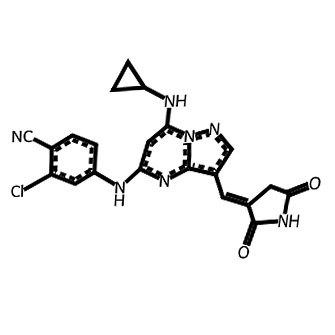 N#Cc1ccc(Nc2cc(NC3CC3)n3ncc(C=C4CC(=O)NC4=O)c3n2)cc1Cl